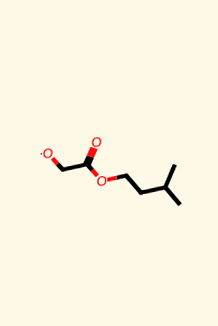 CC(C)CCOC(=O)C[O]